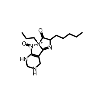 CCCCCC1N=C2C3=C(NCNC3)[N+](=O)[N+]2(CCC)C1=O